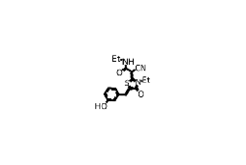 CCNC(=O)/C(C#N)=c1\s/c(=C\c2cccc(O)c2)c(=O)n1CC